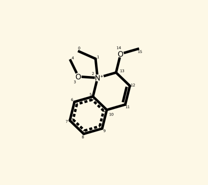 CC[N+]1(OC)c2ccccc2C=CC1OC